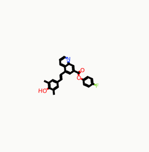 Cc1cc(/C=C/c2cc(C(=O)Oc3ccc(F)cc3)cc3ncccc23)cc(C)c1O